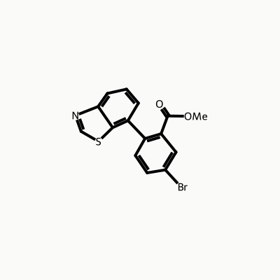 COC(=O)c1cc(Br)ccc1-c1cccc2ncsc12